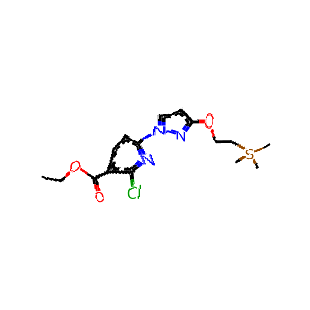 CCOC(=O)c1ccc(-n2ccc(OCCS(C)(C)C)n2)nc1Cl